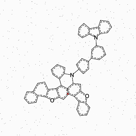 c1cc(-c2ccc(N(c3ccc4c(c3)oc3ccccc34)c3ccccc3-c3cccc4oc5c6ccccc6ccc5c34)cc2)cc(-n2c3ccccc3c3ccccc32)c1